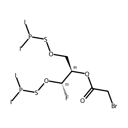 O=C(CBr)O[C@H](COSP(I)I)[C@H](F)OSP(I)I